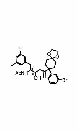 CC(=O)N[C@@H](Cc1cc(F)cc(F)c1)[C@H](O)CNC1(c2cccc(Br)c2)CCC2(CC1)OCCO2